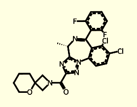 C[C@@H]1N=C(c2c(F)cccc2F)c2c(ccc(Cl)c2Cl)-n2nc(C(=O)N3CC4(CCCCO4)C3)nc21